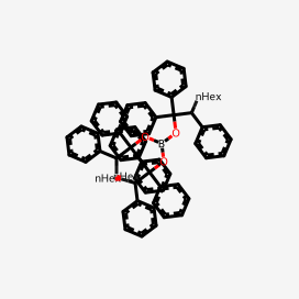 CCCCCCC(c1ccccc1)C(OB(OC(c1ccccc1)(c1ccccc1)C(CCCCCC)c1ccccc1)OC(c1ccccc1)(c1ccccc1)C(CCCCCC)c1ccccc1)(c1ccccc1)c1ccccc1